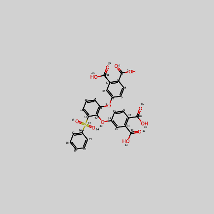 O=C(O)c1ccc(Oc2cccc(S(=O)(=O)c3ccccc3)c2Oc2ccc(C(=O)O)c(C(=O)O)c2)cc1C(=O)O